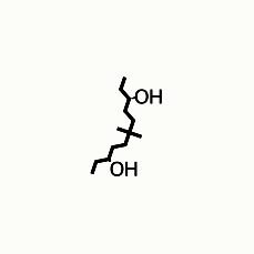 CC[C@@H](O)CCC(C)(C)CC[C@@H](O)CC